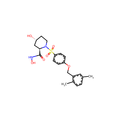 Cc1ccc(C)c(COc2ccc(S(=O)(=O)N3CC[C@@H](O)C[C@@H]3C(=O)NO)cc2)c1